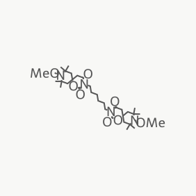 CON1C(C)(C)CC2(CC(=O)N(CCCCCCN3C(=O)CC4(CC(C)(C)N(OC)C(C)(C)C4)OC3=O)C(=O)O2)CC1(C)C